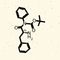 CC(C)(C)OC(=O)N(C(=O)[C@@H](N)Cc1ccccc1)c1ccccc1